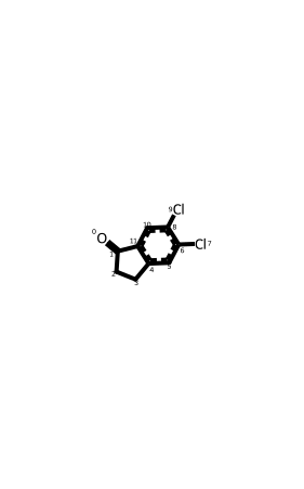 O=C1CCc2cc(Cl)c(Cl)cc21